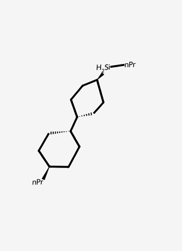 CCC[SiH2][C@H]1CC[C@H]([C@H]2CC[C@H](CCC)CC2)CC1